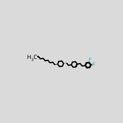 CCCCCCCCC[C@H]1CC[C@H](CCC2CC=C(CCc3ccc(F)c(F)c3)CC2)CC1